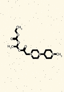 CCOC(=O)OC(C)OC(=O)CN1CCN(C2CCN(C)CC2)CC1